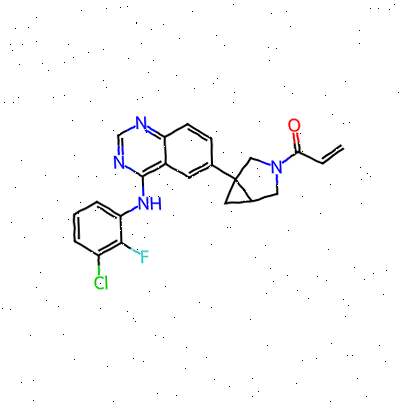 C=CC(=O)N1CC2CC2(c2ccc3ncnc(Nc4cccc(Cl)c4F)c3c2)C1